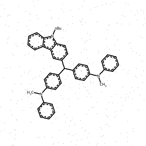 CCCCn1c2ccccc2c2cc(C(c3ccc(N(C)c4ccccc4)cc3)c3ccc(N(C)c4ccccc4)cc3)ccc21